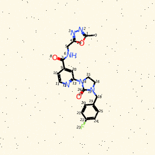 Cc1nnc(CNC(=O)c2ccnc(N3CCN(Cc4ccc(F)cc4)C3=O)c2)o1